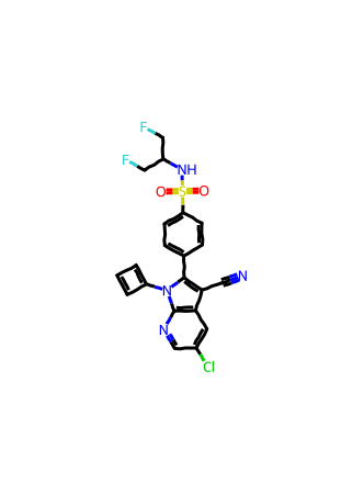 N#Cc1c(-c2ccc(S(=O)(=O)NC(CF)CF)cc2)n(C2=CC=C2)c2ncc(Cl)cc12